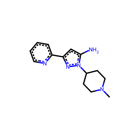 CN1CCC(n2nc(-c3ccccn3)cc2N)CC1